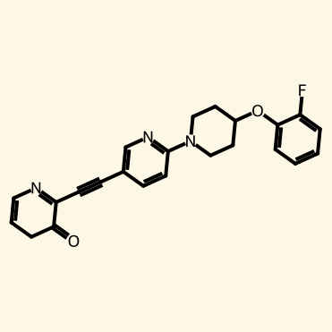 O=C1CC=CN=C1C#Cc1ccc(N2CCC(Oc3ccccc3F)CC2)nc1